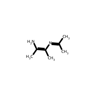 CC(C)=N/C(C)=C(/C)N